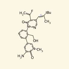 C=C(F)c1c(/C=C(\C)C(C)(C)C)cnn(-c2cccc(-c3cc(N)c(=O)n(C)c3)c2CO)c1=O